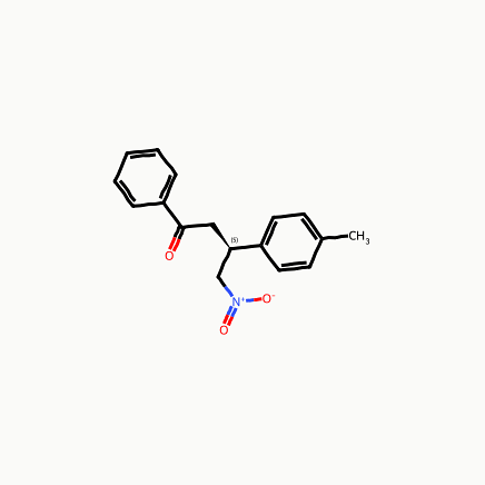 Cc1ccc([C@H](CC(=O)c2ccccc2)C[N+](=O)[O-])cc1